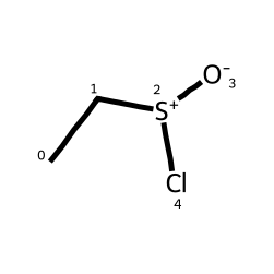 CC[S+]([O-])Cl